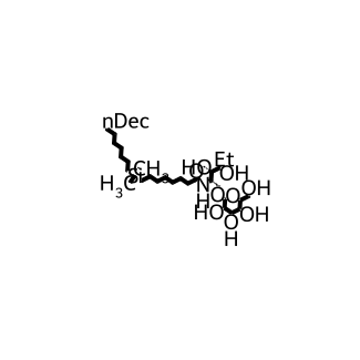 CCCCCCCCCCCCCCCCC[Si](C)(C)CCCCCCCC(=O)N[C@@H](COC1OC(CO)C(O)C(O)C1O)[C@H](O)[C@H](O)CC